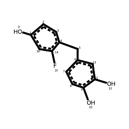 Oc1ccc(Cc2ccc(O)c(O)c2)c(F)c1